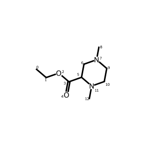 CCOC(=O)C1CN(C)CCN1C